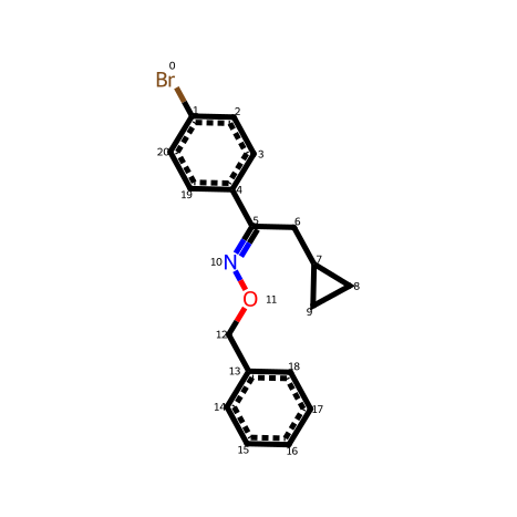 Brc1ccc(/C(CC2CC2)=N/OCc2ccccc2)cc1